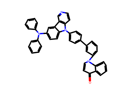 O=c1ccn(-c2cccc(-c3ccc(-n4c5ccncc5c5cc(N(c6ccccc6)c6ccccc6)ccc54)cc3)c2)c2ccccc12